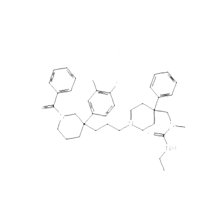 CCNC(=O)N(C)CC1(c2ccccc2)CCN(CCCC2(c3ccc(Cl)c(Cl)c3)CCCN(C(=O)c3ccccc3)C2)CC1.Cl